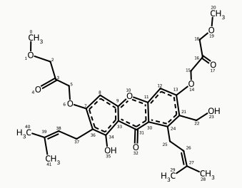 COCC(=O)COc1cc2oc3cc(OCC(=O)COC)c(CO)c(CC=C(C)C)c3c(=O)c2c(O)c1CC=C(C)C